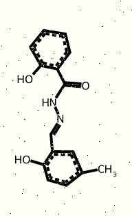 Cc1ccc(O)c(C=NNC(=O)c2ccccc2O)c1